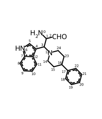 NC(C=O)C(c1c[nH]c2ccccc12)N1CCC(c2ccccc2)CC1